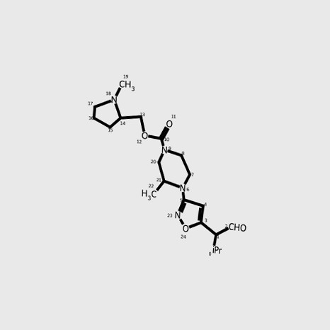 CC(C)C(C=O)c1cc(N2CCN(C(=O)OCC3CCCN3C)CC2C)no1